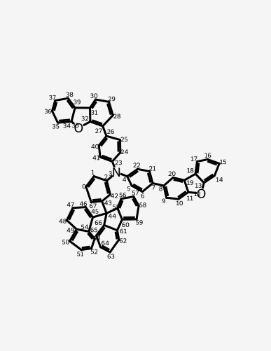 c1cc(N(c2ccc(-c3ccc4oc5ccccc5c4c3)cc2)c2ccc(-c3cccc4c3oc3ccccc34)cc2)cc(C2(c3cccc4ccccc34)c3ccccc3-c3ccccc32)c1